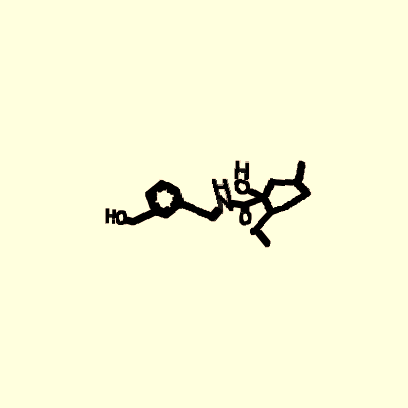 CC1CCC(C(C)C)C(O)(C(=O)NCc2cccc(CO)c2)C1